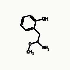 COC(N)Cc1ccccc1O